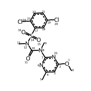 COc1cc(C)nc(N(C)C(=O)N(C)S(=O)(=O)c2cc(Cl)ccc2Cl)n1